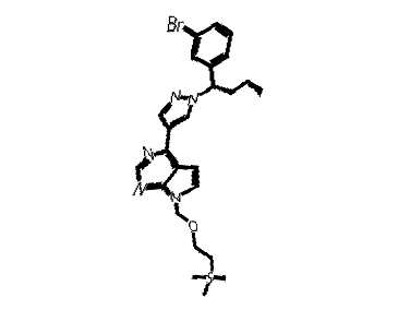 C=CCC(c1cccc(Br)c1)n1cc(-c2ncnc3c2ccn3COCCS(C)(C)C)cn1